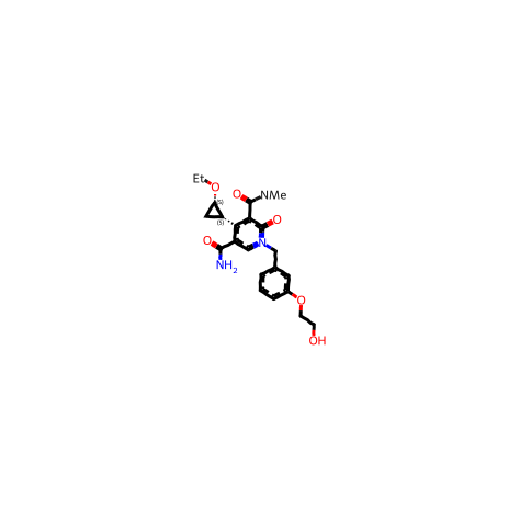 CCO[C@H]1C[C@H]1c1c(C(N)=O)cn(Cc2cccc(OCCO)c2)c(=O)c1C(=O)NC